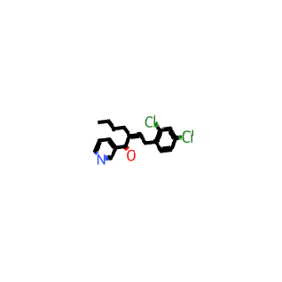 CCCCC(=CCc1ccc(Cl)cc1Cl)C(=O)c1cccnc1